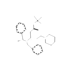 C[C@@H](c1ccccc1)N(Cc1ccccc1)[C@@H](CCN1CCCCC1)CC(=O)OC(C)(C)C